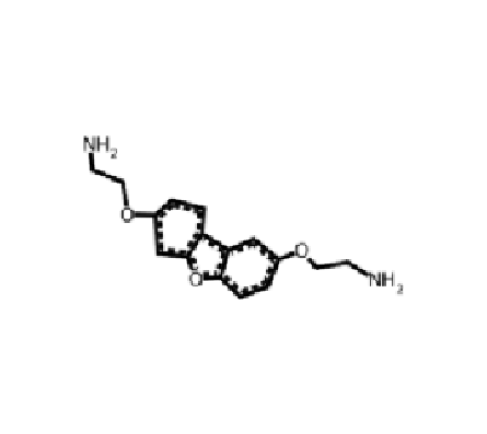 NCCOc1ccc2c(c1)oc1ccc(OCCN)cc12